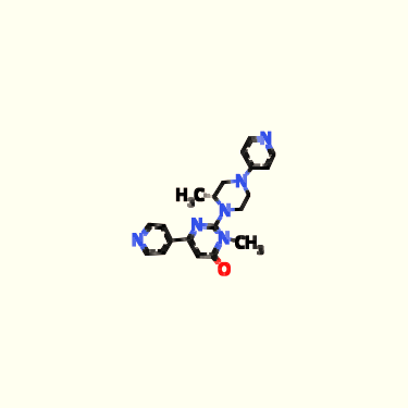 C[C@@H]1CN(c2ccncc2)CCN1c1nc(-c2ccncc2)cc(=O)n1C